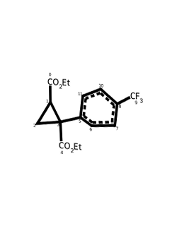 CCOC(=O)C1CC1(C(=O)OCC)c1ccc(C(F)(F)F)cc1